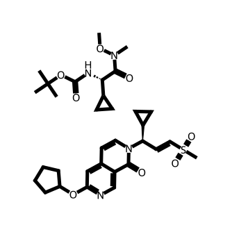 CON(C)C(=O)[C@@H](NC(=O)OC(C)(C)C)C1CC1.CS(=O)(=O)/C=C/[C@H](C1CC1)n1ccc2cc(OC3CCCC3)ncc2c1=O